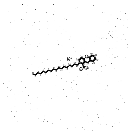 CCCCCCCCCCCCCCCCCCc1ccc2c(c1C(=O)[O-])Cc1ccccc1O2.[K+]